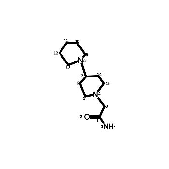 [NH]C(=O)CN1CCC(N2CCCCC2)CC1